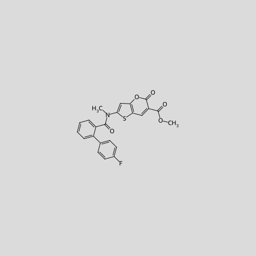 COC(=O)c1cc2sc(N(C)C(=O)c3ccccc3-c3ccc(F)cc3)cc2oc1=O